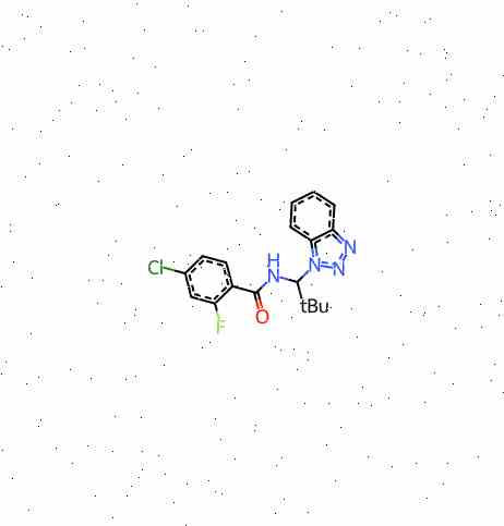 CC(C)(C)C(NC(=O)c1ccc(Cl)cc1F)n1nnc2ccccc21